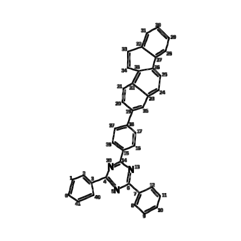 c1ccc(-c2nc(-c3ccccc3)nc(-c3ccc(-c4ccc5c(ccc6c7ccccc7ccc56)c4)cc3)n2)cc1